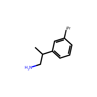 CC(C)c1cccc(C(C)CN)c1